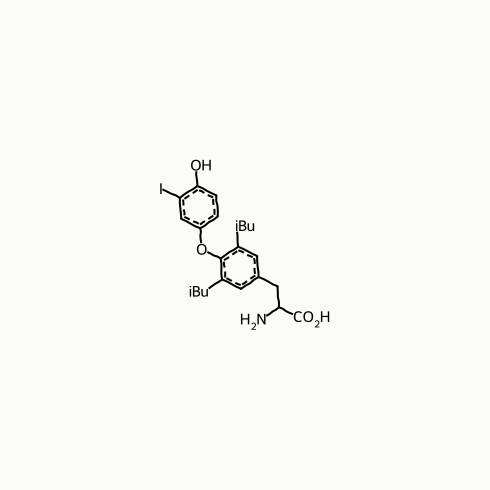 CCC(C)c1cc(CC(N)C(=O)O)cc(C(C)CC)c1Oc1ccc(O)c(I)c1